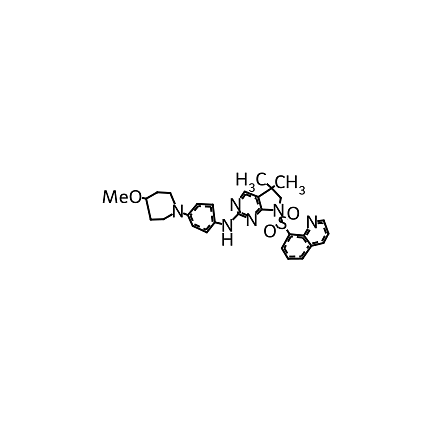 COC1CCN(c2ccc(Nc3ncc4c(n3)N(S(=O)(=O)c3cccc5cccnc35)CC4(C)C)cc2)CC1